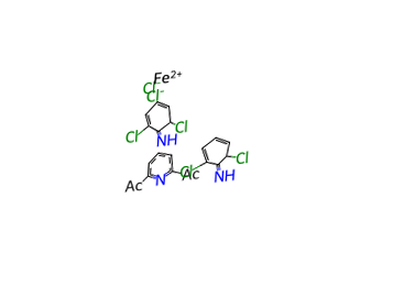 CC(=O)c1cccc(C(C)=O)n1.N=C1C(Cl)=CC=CC1Cl.N=C1C(Cl)=CC=CC1Cl.[Cl-].[Cl-].[Fe+2]